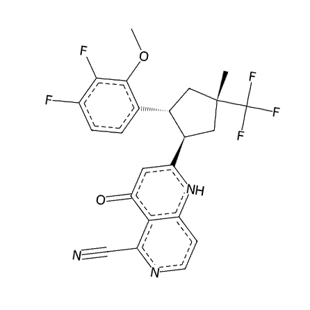 COc1c([C@@H]2C[C@](C)(C(F)(F)F)C[C@H]2c2cc(=O)c3c(C#N)nccc3[nH]2)ccc(F)c1F